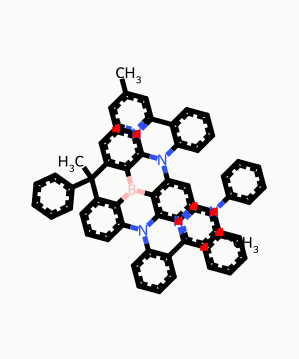 Cc1ccnc(-c2ccccc2N2c3cc(N(c4ccccc4)c4ccccc4)cc4c3B3c5c2cccc5C(C)(c2ccccc2)c2cccc(c23)N4c2ccccc2-c2cc(C)ccn2)c1